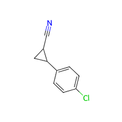 N#CC1CC1c1ccc(Cl)cc1